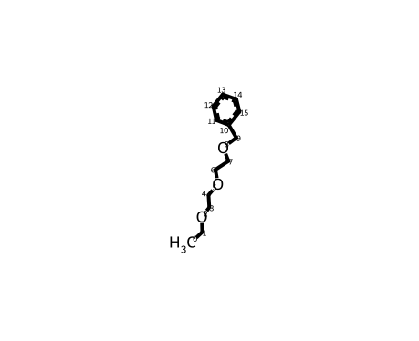 CCOCCOCCOCc1ccccc1